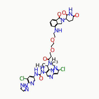 CC(c1c(NC(=O)Nc2cnc(-n3nccn3)c(Cl)c2)cnc2cc(Cl)nn12)N(C)C(=O)CCOCCOCCNc1cccc2c1CN(C1CCC(=O)NC1=O)C2=O